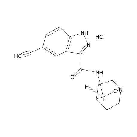 C#Cc1ccc2[nH]nc(C(=O)N[C@H]3CN4CCC3CC4)c2c1.Cl